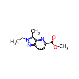 CCn1nc2ccc(C(=O)OC)nc2c1C